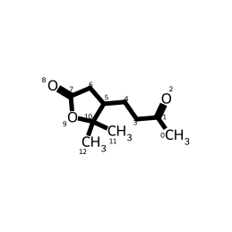 CC(=O)CCC1CC(=O)OC1(C)C